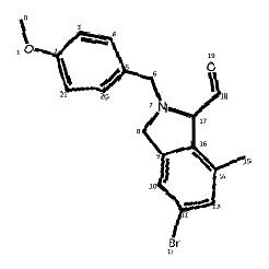 COc1ccc(CN2Cc3cc(Br)cc(C)c3C2C=O)cc1